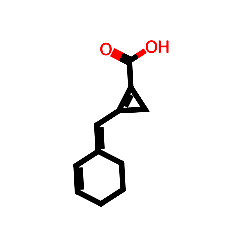 O=C(O)C1=C(C=C2C=CCCC2)C1